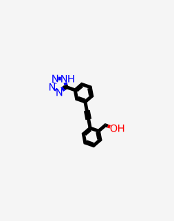 OCc1ccccc1C#Cc1cccc(-c2nnn[nH]2)c1